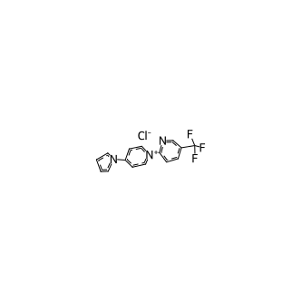 FC(F)(F)c1ccc(-[n+]2ccc(-n3cccc3)cc2)nc1.[Cl-]